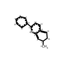 CC1C=c2nc(-c3ccccc3)ccc2=CC1